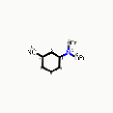 CCCN(CCC)C1CCCC(C#N)C1